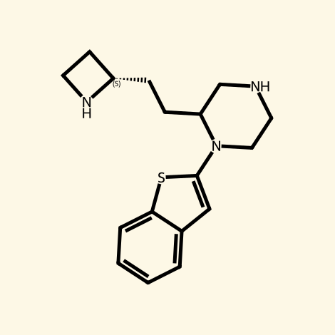 c1ccc2sc(N3CCNCC3CC[C@H]3CCN3)cc2c1